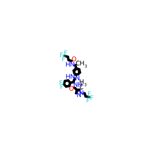 Cc1c(C(=O)N[C@H](c2nc3ccc([C@@H](C)NC(=O)CCC(F)(F)F)cc3[nH]2)C2CCC(F)(F)CC2)cnn1CCC(F)(F)F